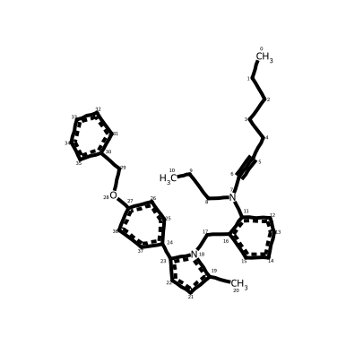 CCCCCC#CN(CCC)c1ccccc1Cn1c(C)ccc1-c1ccc(OCc2ccccc2)cc1